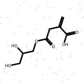 C=C(CC(=O)OCC(O)CO)C(=O)O